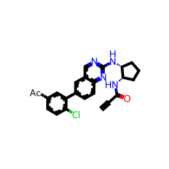 C#CC(=O)N[C@H]1CCC[C@H]1Nc1ncc2cc(-c3cc(C(C)=O)ccc3Cl)ccc2n1